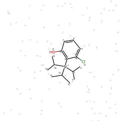 CC(C)[Si](c1c(O)cccc1Cl)(C(C)C)C(C)C